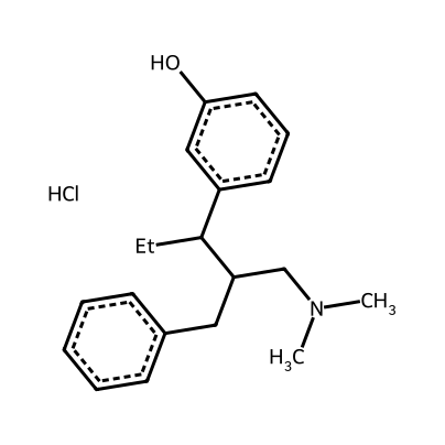 CCC(c1cccc(O)c1)C(Cc1ccccc1)CN(C)C.Cl